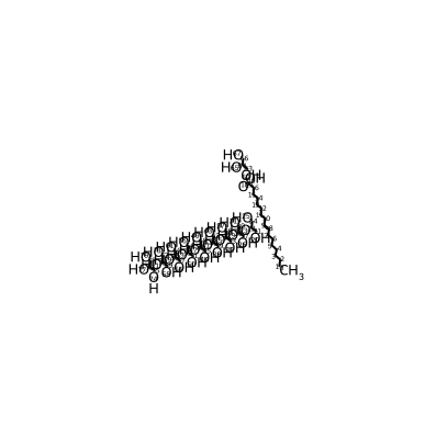 CCCCCCCCC=CCCCCCCCC(=O)O.OCC(O)CO.OCC(O)CO.OCC(O)CO.OCC(O)CO.OCC(O)CO.OCC(O)CO.OCC(O)CO.OCC(O)CO.OCC(O)CO.OCC(O)CO